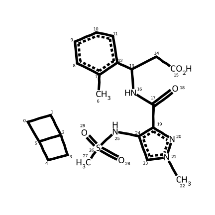 C1CC2CCC12.Cc1ccccc1C(CC(=O)O)NC(=O)c1nn(C)cc1NS(C)(=O)=O